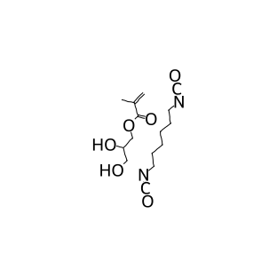 C=C(C)C(=O)OCC(O)CO.O=C=NCCCCCCN=C=O